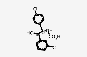 O=C(O)N[C@H](c1ccc(Cl)cc1)[C@H](O)c1cccc(Cl)c1